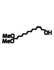 COC(CCCCCCCCC/C=C\CCO)OC